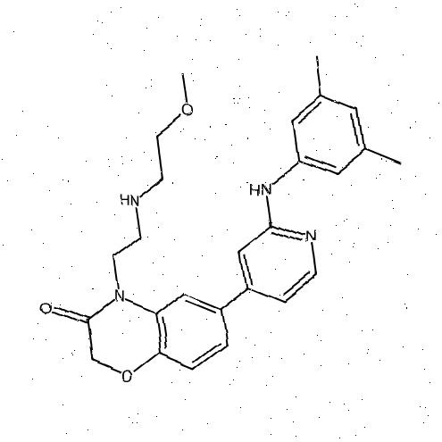 COCCNCCN1C(=O)COc2ccc(-c3ccnc(Nc4cc(C)cc(C)c4)c3)cc21